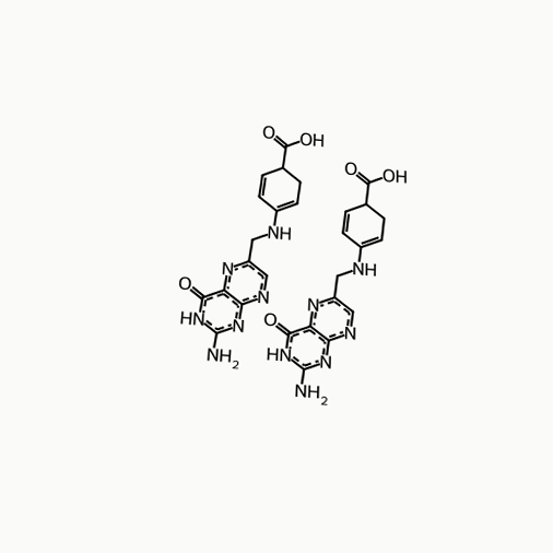 Nc1nc2ncc(CNC3=CCC(C(=O)O)C=C3)nc2c(=O)[nH]1.Nc1nc2ncc(CNC3=CCC(C(=O)O)C=C3)nc2c(=O)[nH]1